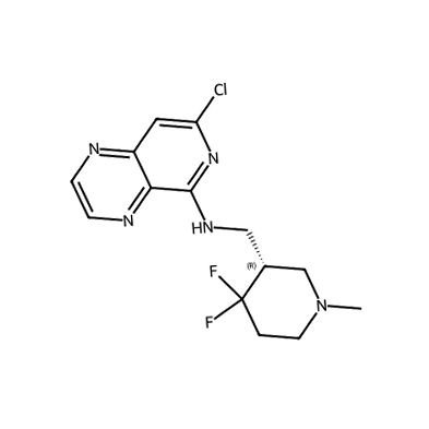 CN1CCC(F)(F)[C@H](CNc2nc(Cl)cc3nccnc23)C1